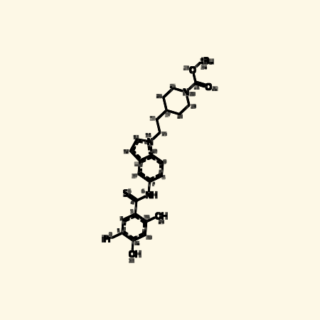 CC(C)c1cc(C(=S)Nc2ccc3c(ccn3CCC3CCN(C(=O)OC(C)(C)C)CC3)c2)c(O)cc1O